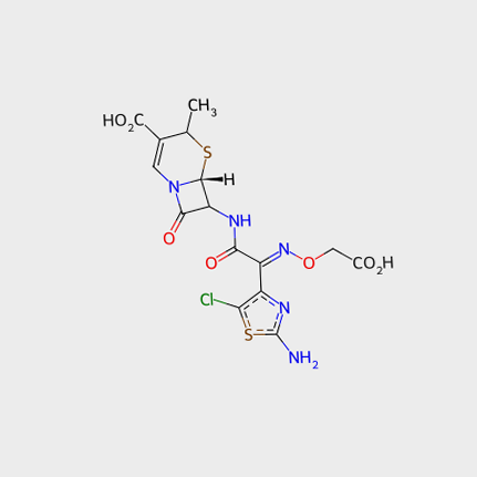 CC1S[C@@H]2C(NC(=O)C(=NOCC(=O)O)c3nc(N)sc3Cl)C(=O)N2C=C1C(=O)O